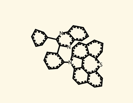 c1ccc(-c2nc3ccccc3nc2-c2ccccc2-n2c3ccc4cccc5sc6cccc7ccc2c(c76)c3c45)cc1